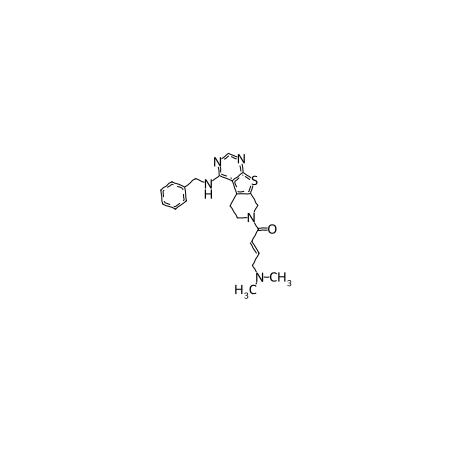 CN(C)C/C=C/C(=O)N1CCc2c(sc3ncnc(NCc4ccccc4)c23)C1